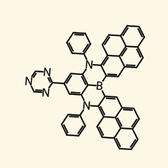 c1ccc(N2c3cc(-c4ncncn4)cc4c3B(c3cc5ccc6cccc7ccc(c32)c5c67)c2cc3ccc5cccc6ccc(c2N4c2ccccc2)c3c56)cc1